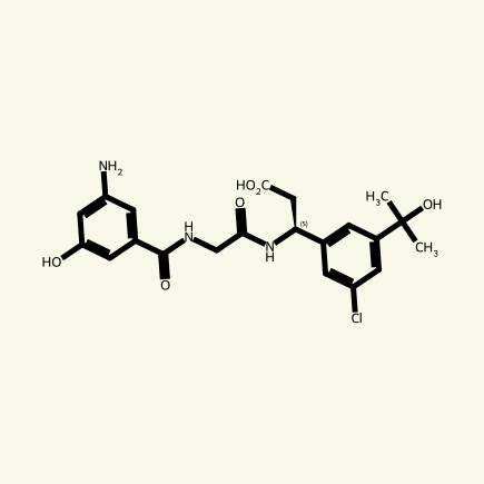 CC(C)(O)c1cc(Cl)cc([C@H](CC(=O)O)NC(=O)CNC(=O)c2cc(N)cc(O)c2)c1